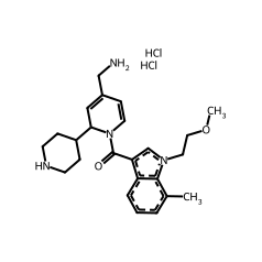 COCCn1cc(C(=O)N2C=CC(CN)=CC2C2CCNCC2)c2cccc(C)c21.Cl.Cl